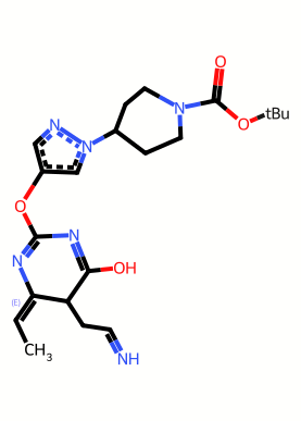 C/C=C1/N=C(Oc2cnn(C3CCN(C(=O)OC(C)(C)C)CC3)c2)N=C(O)C1CC=N